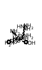 N=C(N)NCCC[C@@H](N)C(=O)N[C@H](Cc1ccc(O)cc1)C(=O)N[C@@H](CCCCN)C(=O)N[C@@H](Cc1ccccc1)C(N)=O